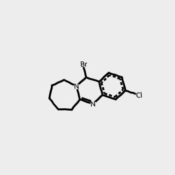 Clc1ccc2c(c1)N=C1CCCCCN1C2Br